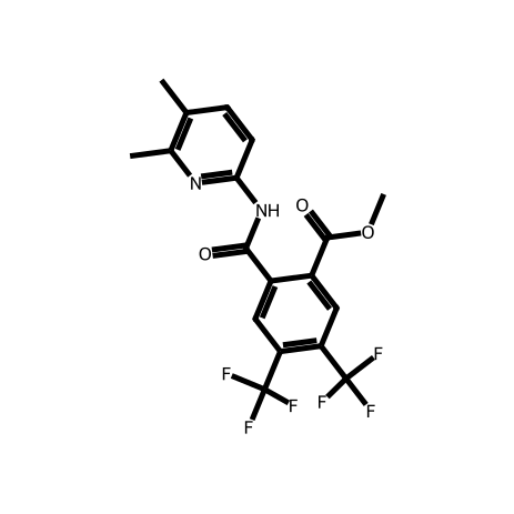 COC(=O)c1cc(C(F)(F)F)c(C(F)(F)F)cc1C(=O)Nc1ccc(C)c(C)n1